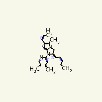 C=C/C=C\C=C1/Cn2c(nc(/C=C\C)c2C)N1C(=C/C=C)/N=C\C=C